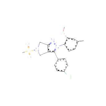 COc1cc(C)ccc1-n1nc2c(c1-c1ccc(Cl)cc1)CN(S(C)(=O)=O)C2